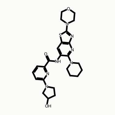 O=C(Nc1cc2sc(N3CCOCC3)nc2nc1N1CCCCC1)c1cccc(N2CCC(O)C2)n1